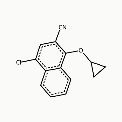 N#Cc1cc(Cl)c2ccccc2c1OC1CC1